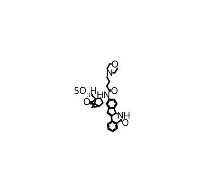 CC1(C)C2CCC1(CS(=O)(=O)O)C(=O)C2.O=C(CCCN1CCOCC1)Nc1ccc2c(c1)C=C1c3ccccc3C(=O)NC12